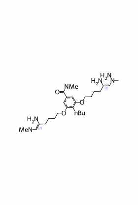 CCCCc1c(OCCCC/C(N)=C/NC)cc(C(=O)NC)cc1OCCCC/C(N)=C/N(C)N